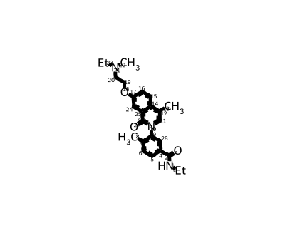 CCNC(=O)c1ccc(C)c(-n2cc(C)c3ccc(OCCN(C)CC)cc3c2=O)c1